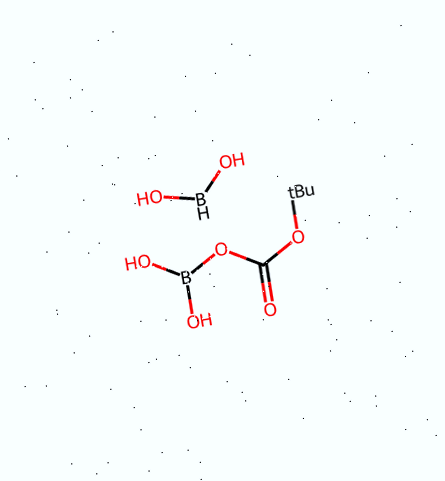 CC(C)(C)OC(=O)OB(O)O.OBO